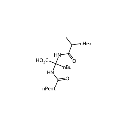 CCCCCCC(C)C(=O)NC(CCCC)(NC(=O)CCCCC)C(=O)O